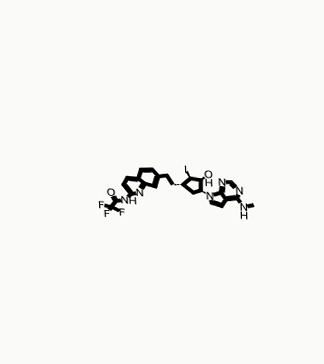 CNc1ncnc2c1ccn2[C@@H]1C[C@H](CCc2ccc3ccc(NC(=O)C(F)(F)F)nc3c2)[C@@H](I)[C@H]1O